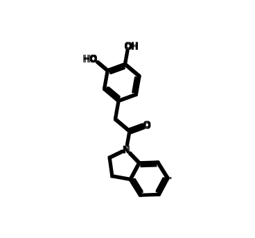 O=C(Cc1ccc(O)c(O)c1)N1CCc2cc[c]cc21